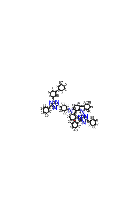 c1ccc(-c2cccc(-c3nc(-c4ccccc4)nc(-c4ccc(-n5c6ccccc6c6c5ccc5c7ccccc7n(-c7nc(-c8ccccc8)nc(-c8ccccc8)n7)c56)cc4)n3)c2)cc1